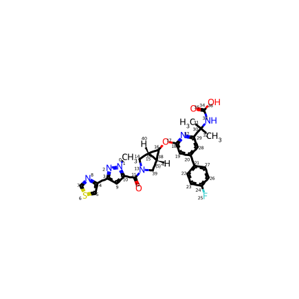 Cn1nc(-c2cscn2)cc1C(=O)N1C[C@@H]2C(Oc3cc(-c4ccc(F)cc4)cc(C(C)(C)NC(=O)O)n3)[C@@H]2C1